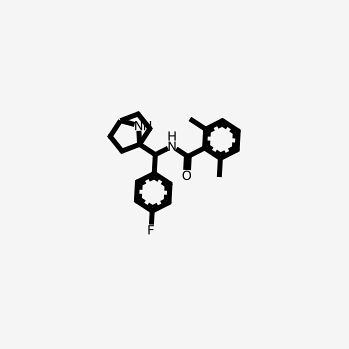 Cc1cccc(C)c1C(=O)NC(c1ccc(F)cc1)C12CCC(CC1)N2